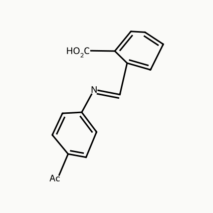 CC(=O)c1ccc(/N=C/c2ccccc2C(=O)O)cc1